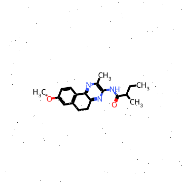 CCC(C)C(=O)Nc1nc2c(nc1C)-c1ccc(OC)cc1CC2